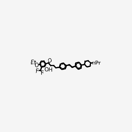 CCCC1CCC(c2ccc(CCc3ccc(CCCC(=O)c4ccc(OCC)c(C(F)F)c4O)cc3)cc2)CC1